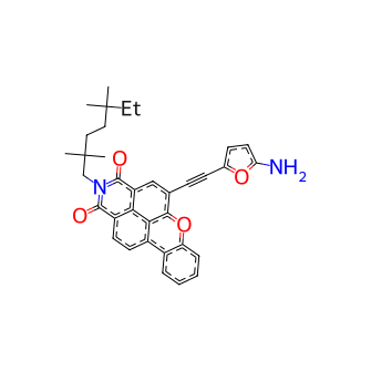 CCC(C)(C)CCC(C)(C)Cn1c(=O)c2ccc3c4ccccc4oc4c(C#Cc5ccc(N)o5)cc(c1=O)c2c43